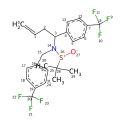 C=CCC(c1ccc(C(F)(F)F)cc1)N(Cc1ccc(C(F)(F)F)cc1)[S+]([O-])C(C)(C)C